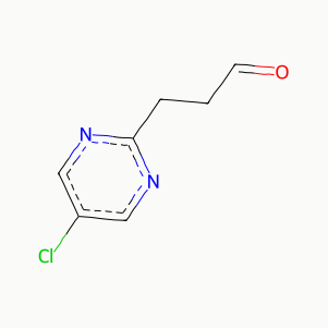 O=CCCc1ncc(Cl)cn1